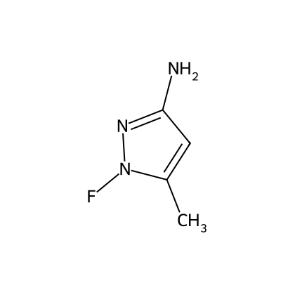 Cc1cc(N)nn1F